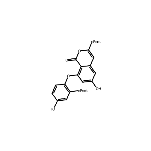 CCCCCc1cc2cc(O)cc(Oc3ccc(O)cc3CCCCC)c2c(=O)o1